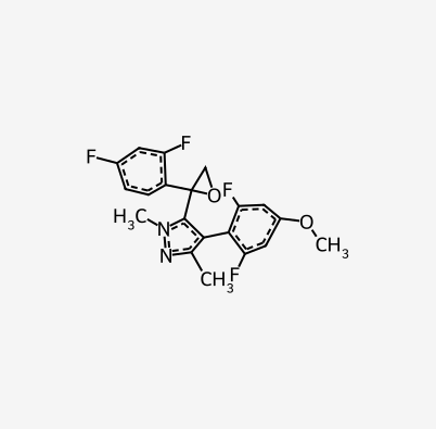 COc1cc(F)c(-c2c(C)nn(C)c2C2(c3ccc(F)cc3F)CO2)c(F)c1